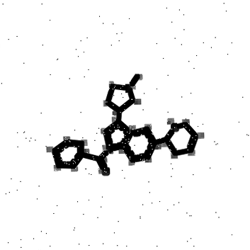 CN1CCC(c2cn(C(=O)c3ccccc3)c3ccc(C4CC=CCO4)cc23)C1